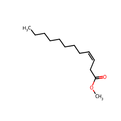 CCCCCCCC/C=C\CC(=O)OC